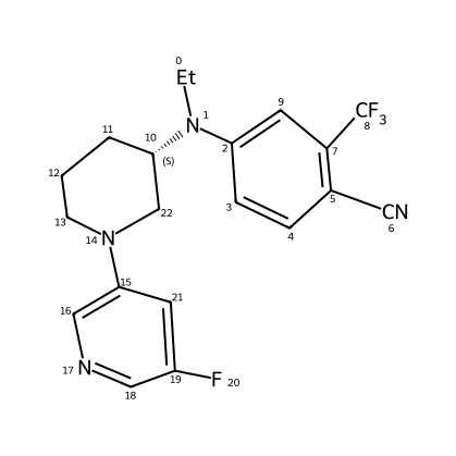 CCN(c1ccc(C#N)c(C(F)(F)F)c1)[C@H]1CCCN(c2cncc(F)c2)C1